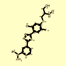 CC(C)N(C)c1cc(-c2nnc(-c3cc(F)c(OCC(CO)NCl)cc3Cl)s2)ccn1